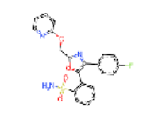 NS(=O)(=O)c1ccccc1-c1oc(COc2ccccn2)nc1-c1ccc(F)cc1